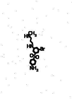 CNCCCNc1cc(Br)cc(S(=O)(=O)c2ccc(N)cc2)c1